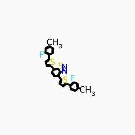 Cc1ccc(-c2ccc(-c3ccc(-c4ccc(-c5ccc(C)cc5F)s4)c4snnc34)s2)c(F)c1